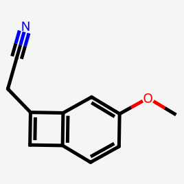 COc1ccc2c(c1)C(CC#N)=C2